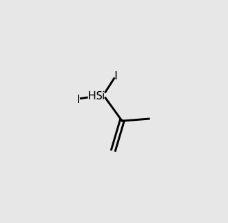 C=C(C)[SiH](I)I